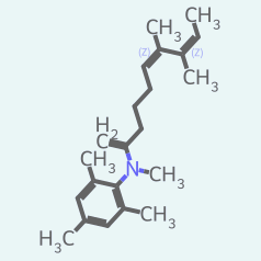 C=C(CCC/C=C(C)\C(C)=C/C)N(C)c1c(C)cc(C)cc1C